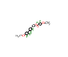 CCOc1ccc(C(=O)OC2CCC(c3ccc(-c4ccc(OCC)c(F)c4F)c(F)c3F)CC2)c(F)c1F